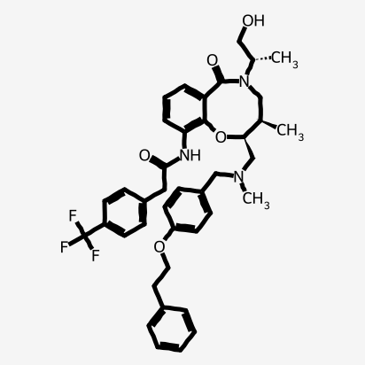 C[C@@H]1CN([C@@H](C)CO)C(=O)c2cccc(NC(=O)Cc3ccc(C(F)(F)F)cc3)c2O[C@@H]1CN(C)Cc1ccc(OCCc2ccccc2)cc1